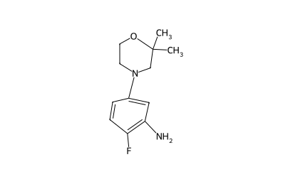 CC1(C)CN(c2ccc(F)c(N)c2)CCO1